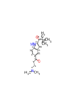 CN(C)CCCC(=O)c1ccc2[nH]c(C(=O)C(C)(C)C)cc2c1